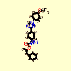 CC(Cc1ccccc1)OC(=O)Nc1ccc(-c2ncn(-c3ccc(OC(F)(F)F)cc3)n2)cc1